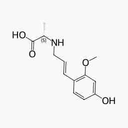 COc1cc(O)ccc1C=CCN[C@@H](C)C(=O)O